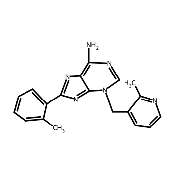 Cc1ccccc1-c1nc2c(N)ncn(Cc3cccnc3C)c-2n1